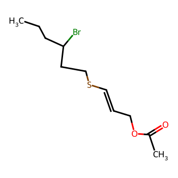 CCCC(Br)CCSC=CCOC(C)=O